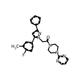 Cc1cc(-c2cc(-c3ccccc3)nn2CC(=O)N2CCN(c3ncccn3)CC2)ccc1F